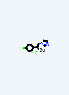 CCC(C)C(=Cn1ccnc1)c1ccc(Cl)cc1.Cl